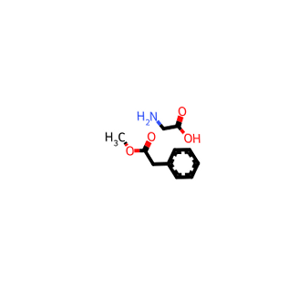 COC(=O)Cc1ccccc1.NCC(=O)O